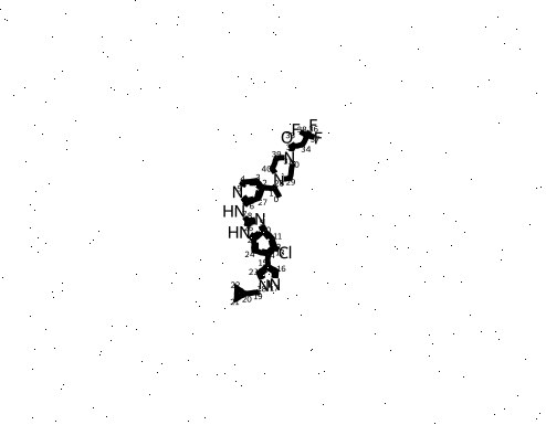 CC(c1ccnc(Nc2nc3cc(Cl)c(-c4cnn(CC5CC5)c4)cc3[nH]2)c1)N1CCN(C(=O)CC(F)(F)F)CC1